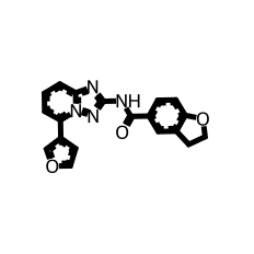 O=C(Nc1nc2cccc(-c3ccoc3)n2n1)c1ccc2c(c1)CCO2